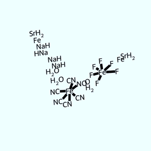 N#[C][Fe]([C]#N)([C]#N)([C]#N)([C]#N)[N]=O.O.O.O.[F][Fe]([F])([F])([F])([F])[F].[Fe].[Fe].[NaH].[NaH].[NaH].[NaH].[SrH2].[SrH2]